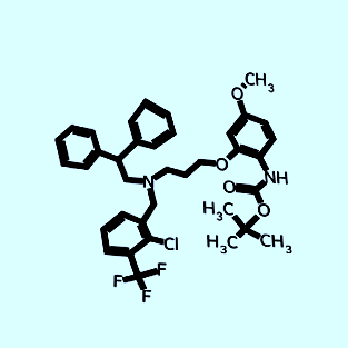 COc1ccc(NC(=O)OC(C)(C)C)c(OCCCN(Cc2cccc(C(F)(F)F)c2Cl)CC(c2ccccc2)c2ccccc2)c1